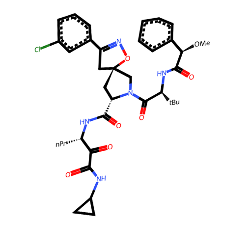 CCC[C@H](NC(=O)[C@@H]1C[C@]2(CC(c3cccc(Cl)c3)=NO2)CN1C(=O)[C@@H](NC(=O)[C@H](OC)c1ccccc1)C(C)(C)C)C(=O)C(=O)NC1CC1